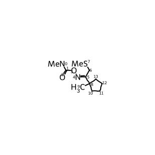 CNC(=O)ON=C(CSC)C1(C)CCCC1